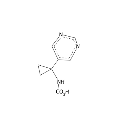 O=C(O)NC1(c2cncnc2)CC1